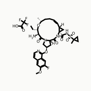 CC[C@@H]1O[C@H](C)CCC=C[C@@H]2C[C@@]2(C(=O)NS(=O)(=O)C2(C)CC2)NC(=O)[C@@H]2C[C@@H](Oc3nccc4cc(OC)c(F)cc34)CN2C(=O)[C@H]1N.O=C(O)C(F)(F)F